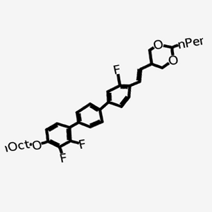 CCCCCCCCOc1ccc(-c2ccc(-c3ccc(/C=C/C4COC(CCCCC)OC4)c(F)c3)cc2)c(F)c1F